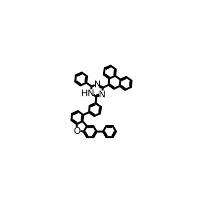 c1ccc(-c2ccc3oc4cccc(-c5cccc(C6=NC(c7cc8ccccc8c8ccccc78)=NC(c7ccccc7)N6)c5)c4c3c2)cc1